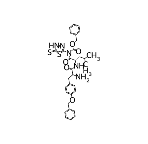 CC(C)C[C@H](NC(=O)[C@@H](N)Cc1ccc(OCc2ccccc2)cc1)C(=O)N(C(=O)OCc1ccccc1)c1n[nH]c(=S)s1